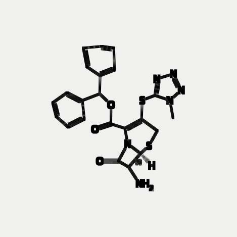 Cn1nnnc1SC1=C(C(=O)OC(c2ccccc2)c2ccccc2)N2C(=O)C(N)[C@@H]2SC1